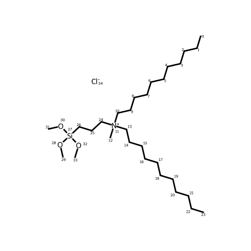 CCCCCCCCCCC[N+](C)(CCCCCCCCCCC)CCC[Si](OC)(OC)OC.[Cl-]